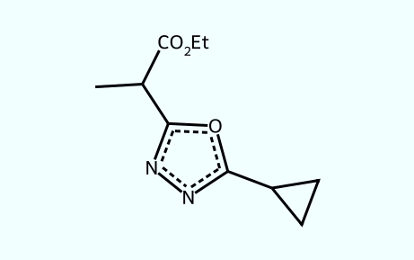 CCOC(=O)C(C)c1nnc(C2CC2)o1